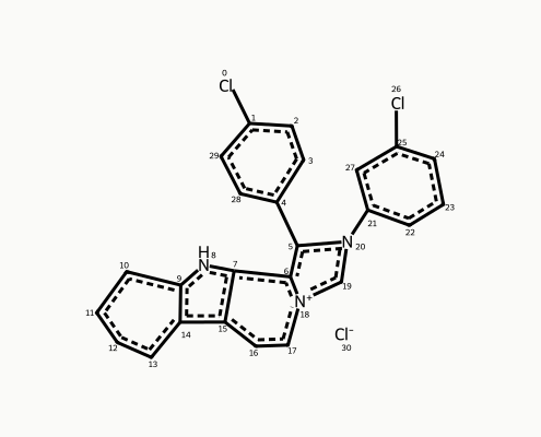 Clc1ccc(-c2c3c4[nH]c5ccccc5c4cc[n+]3cn2-c2cccc(Cl)c2)cc1.[Cl-]